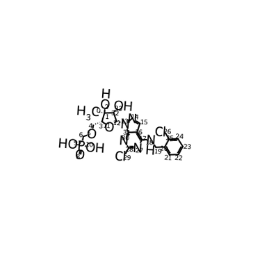 C[C@@]1(O)[C@@H](COCP(=O)(O)O)O[C@@H](n2ncc3c(NCc4ccccc4Cl)nc(Cl)nc32)[C@@H]1O